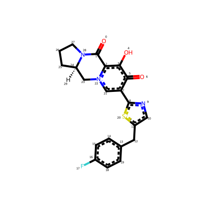 O=C1c2c(O)c(=O)c(-c3ncc(Cc4ccc(F)cc4)s3)cn2C[C@H]2CCCN12